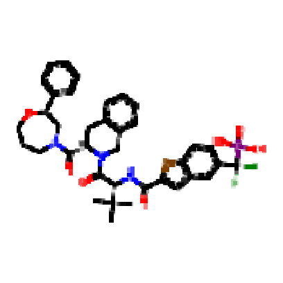 CC(C)(C)C(NC(=O)c1cc2cc(C(F)(F)P(=O)(O)O)ccc2s1)C(=O)N1Cc2ccccc2C[C@H]1C(=O)N1CCCOC(c2ccccc2)C1